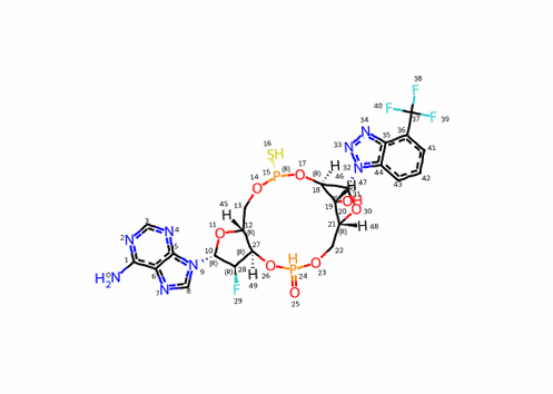 Nc1ncnc2c1ncn2[C@@H]1O[C@@H]2CO[P@](S)O[C@@H]3[C@H](O)[C@@H](CO[PH](=O)O[C@H]2[C@H]1F)O[C@H]3n1nnc2c(C(F)(F)F)cccc21